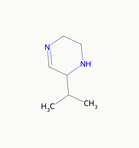 CC(C)C1C=NCCN1